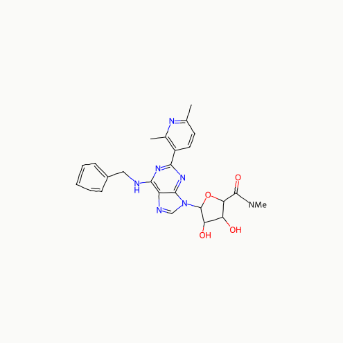 CNC(=O)C1OC(n2cnc3c(NCc4ccccc4)nc(-c4ccc(C)nc4C)nc32)C(O)C1O